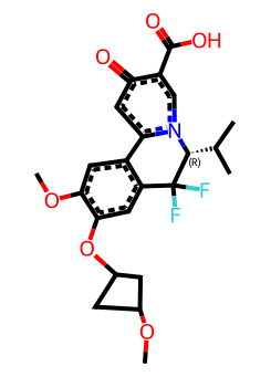 COc1cc2c(cc1OC1CC(OC)C1)C(F)(F)[C@@H](C(C)C)n1cc(C(=O)O)c(=O)cc1-2